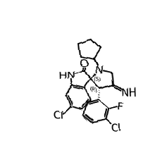 N=C1CN(C2CCCC2)[C@@]2(C(=O)Nc3cc(Cl)ccc32)[C@H]1c1cccc(Cl)c1F